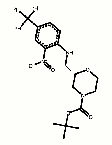 [2H]C([2H])([2H])c1ccc(NC[C@H]2CN(C(=O)OC(C)(C)C)CCO2)c([N+](=O)[O-])c1